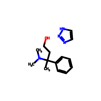 CN(C)C(C)(CCO)c1ccccc1.c1c[nH]nn1